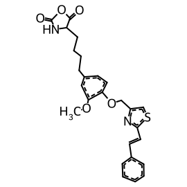 COc1cc(CCCCC2NC(=O)OC2=O)ccc1OCc1csc(C=Cc2ccccc2)n1